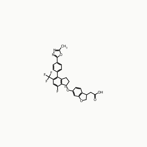 Cc1nnc(-c2ccc(-c3c(C(F)(F)F)cc(F)c4c3CC[C@H]4Oc3ccc4c(c3)OCC4CC(=O)O)cc2)o1